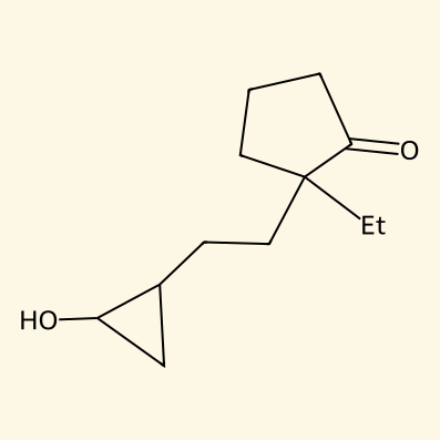 CCC1(CCC2CC2O)CCCC1=O